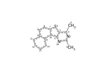 Cc1nc(C)c2sc3ccc4ccccc4c3c2n1